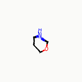 [CH]1CCNCO1